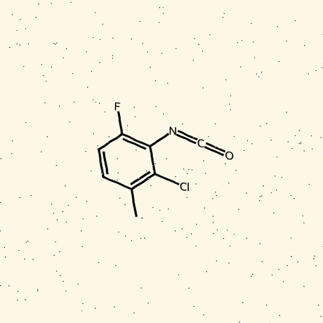 Cc1ccc(F)c(N=C=O)c1Cl